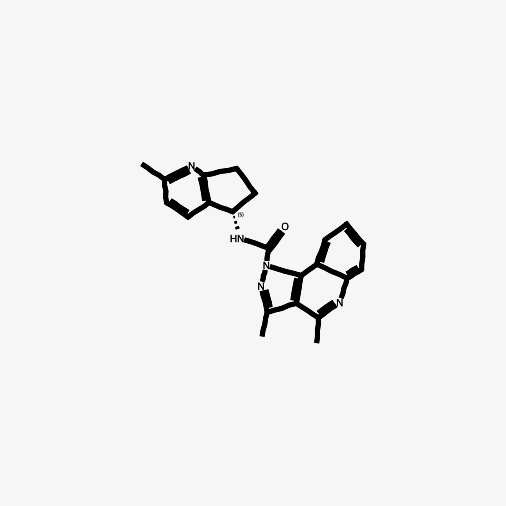 Cc1ccc2c(n1)CC[C@@H]2NC(=O)n1nc(C)c2c(C)nc3ccccc3c21